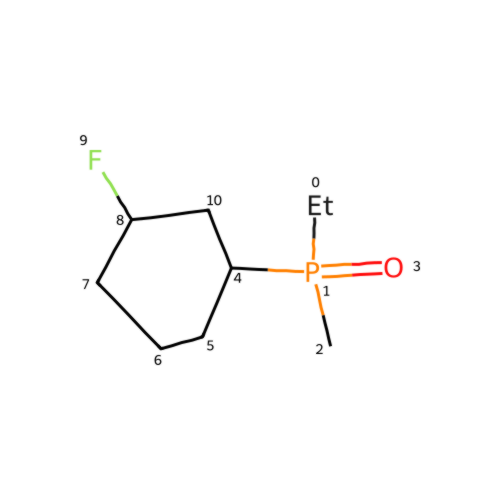 CCP(C)(=O)C1CCCC(F)C1